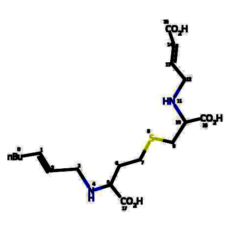 CCCCC=CCNC(CCSCC(NCC=CC(=O)O)C(=O)O)C(=O)O